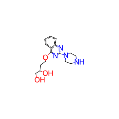 OCC(O)CCOc1nc(N2CCNCC2)nc2ccccc12